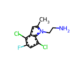 Cc1cc2c(Cl)c(F)cc(Cl)c2n1CCN